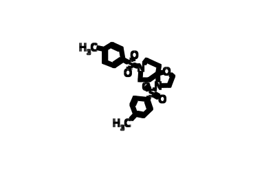 Cc1ccc(S(=O)(=O)N2CCC3(CC2)OCCN3S(=O)(=O)c2ccc(C)cc2)cc1